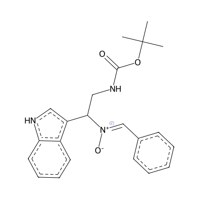 CC(C)(C)OC(=O)NCC(c1c[nH]c2ccccc12)/[N+]([O-])=C/c1ccccc1